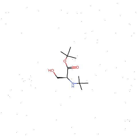 CC(C)(C)N[C@@H](CO)C(=O)OC(C)(C)C